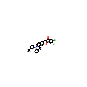 CC(C)(C)c1cccc(N2c3ccccc3C(C)(C)c3c2ccc2cc(C=C4C(=O)c5cc(Cl)c(Cl)cc5C4=O)ccc32)c1